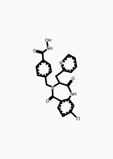 O=C(NO)c1ccc(CN2C(=O)c3ccc(Cl)cc3NC(=O)C2Cc2ccccn2)cc1